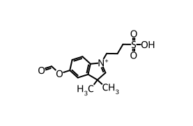 CC1(C)C=[N+](CCCS(=O)(=O)O)c2ccc(OC=O)cc21